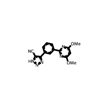 COc1cc(OC)nc(-c2cccc(-c3nn[nH]c3C#N)c2)n1